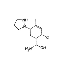 CC1=CC(Cl)C(C(N)O)CC1N1CCCN1